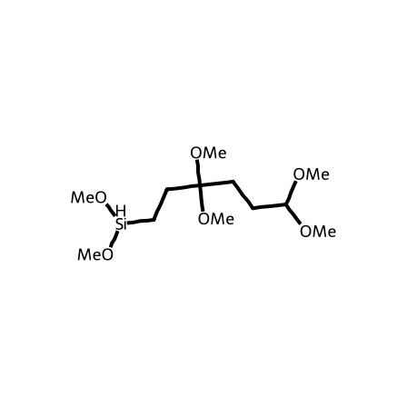 COC(CCC(CC[SiH](OC)OC)(OC)OC)OC